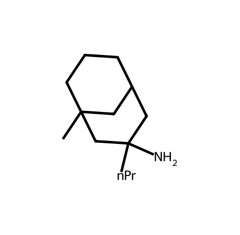 CCCC1(N)CC2CCCC(C)(C2)C1